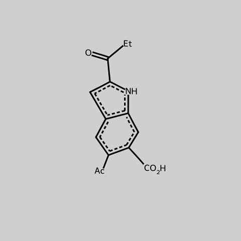 CCC(=O)c1cc2cc(C(C)=O)c(C(=O)O)cc2[nH]1